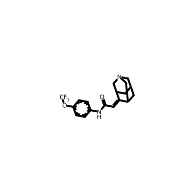 O=C(C=C1C2CC3CC1CN(C3)C2)Nc1ccc(OC(F)(F)F)cc1